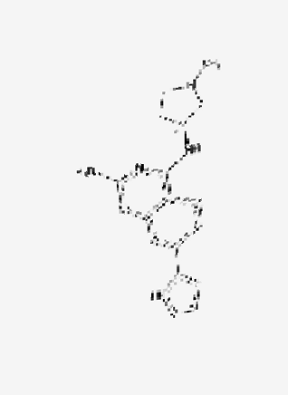 CN1CC[C@H](Nc2nc(N)nc3cc(-c4ccn[nH]4)ccc23)C1